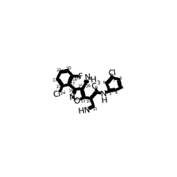 C/C(Nc1cccc(Cl)c1)=C(/C=N)c1onc(-c2c(F)cccc2Cl)c1C#N